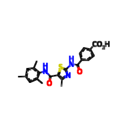 Cc1cc(C)c(NC(=O)c2sc(NC(=O)c3ccc(C(=O)O)cc3)nc2C)c(C)c1